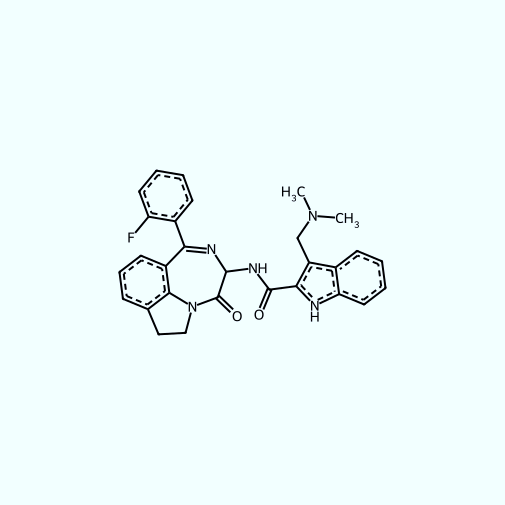 CN(C)Cc1c(C(=O)NC2N=C(c3ccccc3F)c3cccc4c3N(CC4)C2=O)[nH]c2ccccc12